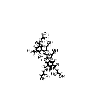 Cc1c(C(N)=O)c(I)c(C(=O)NCC(O)CO)c(I)c1N(CC(O)CO)C(=O)CC(=O)N(CC(O)CO)c1c(I)c(C(=O)NCC(O)CO)c(I)c(C(=O)NCC(O)CO)c1I